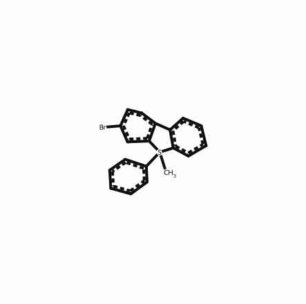 CS1(c2ccccc2)c2ccccc2-c2ccc(Br)cc21